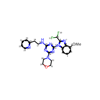 COc1cccc2c1nc(C(F)F)n2-c1nc(NCCc2ccccn2)nc(N2CCOCC2)n1